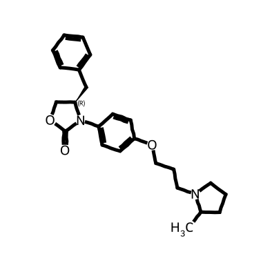 CC1CCCN1CCCOc1ccc(N2C(=O)OC[C@H]2Cc2ccccc2)cc1